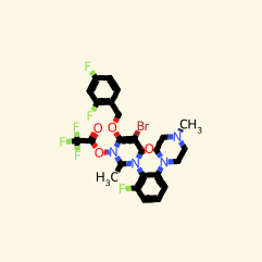 CC1N(OC(=O)C(F)(F)F)C(OCc2ccc(F)cc2F)=C(Br)C(=O)N1c1c(F)cccc1N1CCN(C)CC1